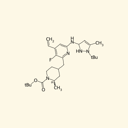 C=Cc1cc(NC2C=C(C)N(C(C)(C)C)N2)nc(CC2CCN(C(=O)OC(C)(C)C)[C@H](C)C2)c1F